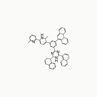 Cc1cccc(C2=CC=C(c3cc(C4=NC(C5CC=Cc6ccccc65)NC(C5=C6C=CC=CC6CC=C5)=N4)cc(C4=C5C=CC=CC5C5C=CC=CC5=C4)c3)C(C)N2)n1